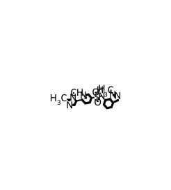 Cc1ncc(-c2ccc(S(=O)(=O)Nc3cccc4cnn(C)c34)cn2)n1C